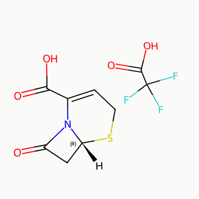 O=C(O)C(F)(F)F.O=C(O)C1=CCS[C@@H]2CC(=O)N12